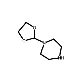 C1CN(C2OCCO2)CCN1